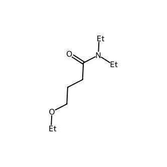 CCOCCCC(=O)N(CC)CC